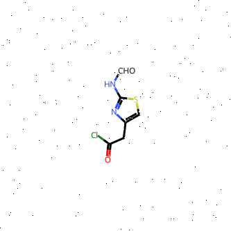 O=CNc1nc(CC(=O)Cl)cs1